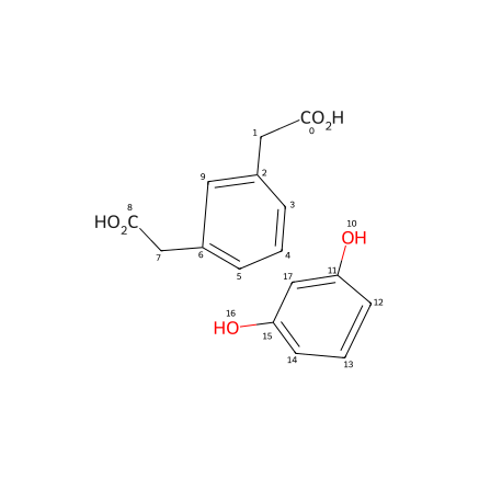 O=C(O)Cc1cccc(CC(=O)O)c1.Oc1cccc(O)c1